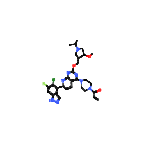 C=CC(=O)N1CCN(c2nc(OCC3CN(C(C)C)C[C@H]3OC)nc3nc(-c4c(Cl)c(F)cc5[nH]ncc45)ccc23)CC1